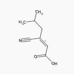 CC(C)C/C(C#N)=C/C(=O)O